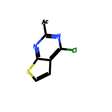 CC(=O)c1nc(Cl)c2ccsc2n1